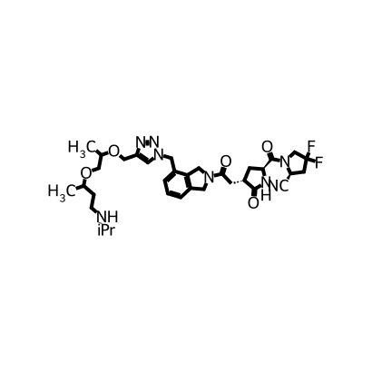 CC(C)NCCC(C)OCC(C)OCc1cn(Cc2cccc3c2CN(C(=O)C[C@@H]2C[C@@H](C(=O)N4CC(F)(F)C[C@H]4C#N)NC2=O)C3)nn1